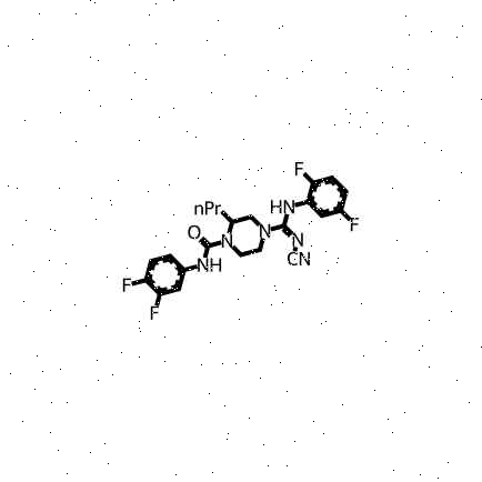 CCCC1CN(/C(=N\C#N)Nc2cc(F)ccc2F)CCN1C(=O)Nc1ccc(F)c(F)c1